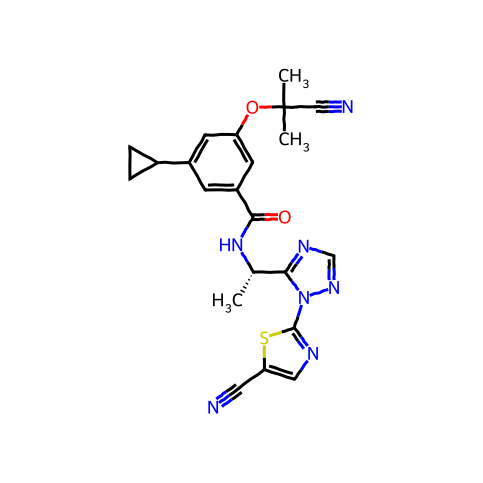 C[C@H](NC(=O)c1cc(OC(C)(C)C#N)cc(C2CC2)c1)c1ncnn1-c1ncc(C#N)s1